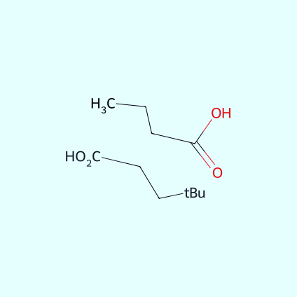 CC(C)(C)CCC(=O)O.CCCC(=O)O